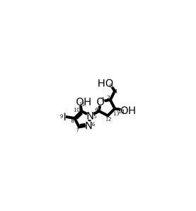 OCC1OC(n2ncc(I)c2O)CC1O